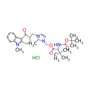 CC1N(COC(=O)C(NC(=O)OC(C)(C)C)C(C)(C)C)C=CN1CC1CCc2c(c3ccccc3n2C)C1=O.Cl